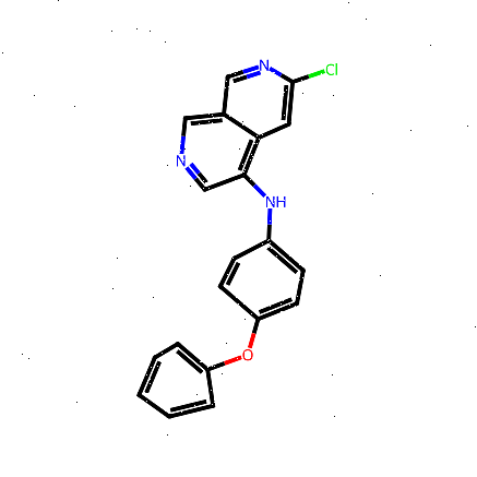 Clc1cc2c(Nc3ccc(Oc4ccccc4)cc3)cncc2cn1